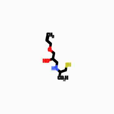 C=CCOCC(O)CNC(CS)C(=O)O